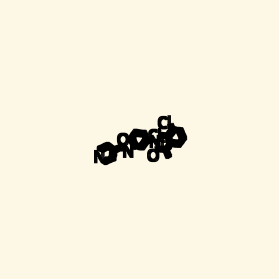 CC(C(=O)Nc1ccc2oc(-c3ccncc3)nc2c1)c1cccc(Cl)c1Cl